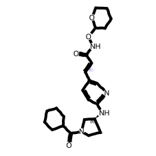 O=C(/C=C/c1ccc(N[C@@H]2CCN(C(=O)C3CCCCC3)C2)nc1)NOC1CCCCO1